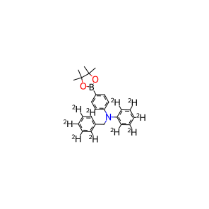 [2H]c1c([2H])c([2H])c(CN(c2ccc(B3OC(C)(C)C(C)(C)O3)cc2)c2c([2H])c([2H])c([2H])c([2H])c2[2H])c([2H])c1[2H]